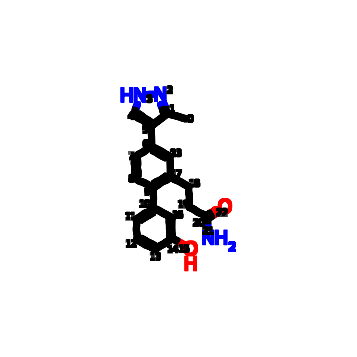 Cc1n[nH]cc1-c1ccc(-c2cccc(O)c2)c(CCC(N)=O)c1